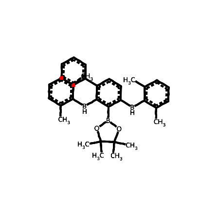 Cc1cccc(C)c1Bc1ccc(-c2ccccc2)c(Bc2c(C)cccc2C)c1B1OC(C)(C)C(C)(C)O1